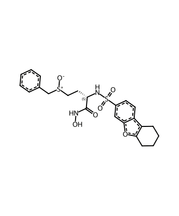 O=C(NO)[C@H](CC[S+]([O-])Cc1ccccc1)NS(=O)(=O)c1ccc2c3c(oc2c1)CCCC3